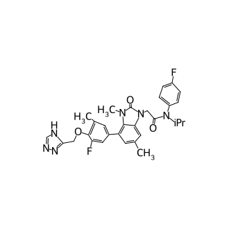 Cc1cc(-c2cc(C)c(OCc3nnc[nH]3)c(F)c2)c2c(c1)n(CC(=O)N(c1ccc(F)cc1)C(C)C)c(=O)n2C